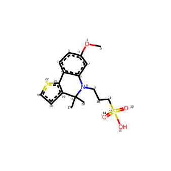 COc1ccc2c(c1)N(CCCS(=O)(=O)O)C(C)(C)c1ccsc1-2